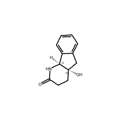 O=C1CC[C@]2(O)Cc3ccccc3[C@@H]2N1